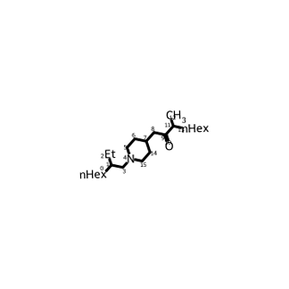 CCCCCCC(CC)CN1CCC(CC(=O)C(C)CCCCCC)CC1